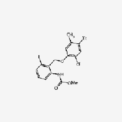 CCc1cc(Cl)c(OCc2c(I)cccc2NC(=O)OC)cc1C